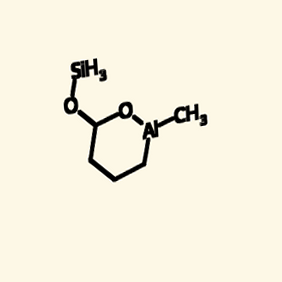 [CH3][Al]1[CH2]CCC(O[SiH3])[O]1